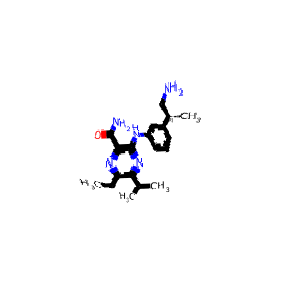 CCc1nc(C(N)=O)c(Nc2cccc([C@@H](C)CN)c2)nc1C(C)C